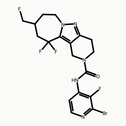 O=C(Nc1ccnc(Br)c1F)N1CCc2nn3c(c2C1)C(F)(F)CC(CF)CC3